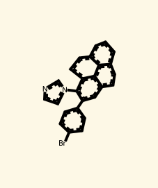 Brc1ccc(-c2cc3ccc4cccc5ccc(c2-n2ccnc2)c3c45)cc1